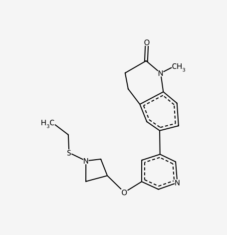 CCSN1CC(Oc2cncc(-c3ccc4c(c3)CCC(=O)N4C)c2)C1